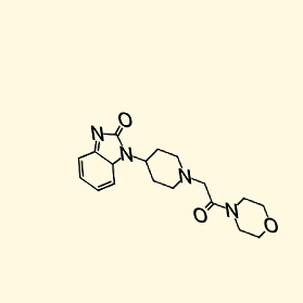 O=C(CN1CCC(N2C(=O)N=C3C=CC=CC32)CC1)N1CCOCC1